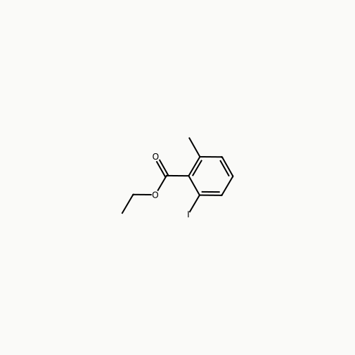 CCOC(=O)c1c(C)cccc1I